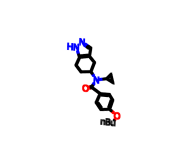 CCCCOc1ccc(C(=O)N(C2CC2)C2CCc3[nH]ncc3C2)cc1